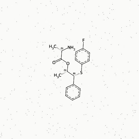 C[C@H](N)C(=O)O[C@@H](C)[C@H](Sc1ccc(F)cc1)c1ccccc1